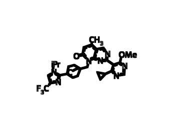 COc1ncnc(C2CC2)c1-c1ncc2c(C)cc(=O)n(CC34CCC(c5nc(C(F)(F)F)cn5C(C)C)(CC3)CC4)c2n1